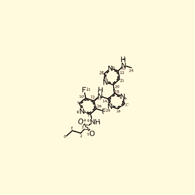 CCCS(=O)(=O)Nc1ncc(F)c(Nc2nccnc2-c2cc(NC)ncn2)c1F